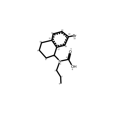 CCCN(C(=O)O)C1CCCc2ccc(Br)cc21